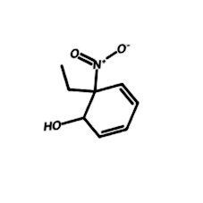 CCC1([N+](=O)[O-])C=CC=CC1O